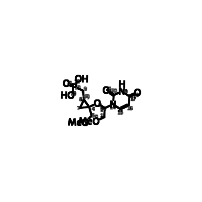 COC[C@@H](OC1(COC)C[C@H]1CP(=O)(O)O)n1ccc(=O)[nH]c1=O